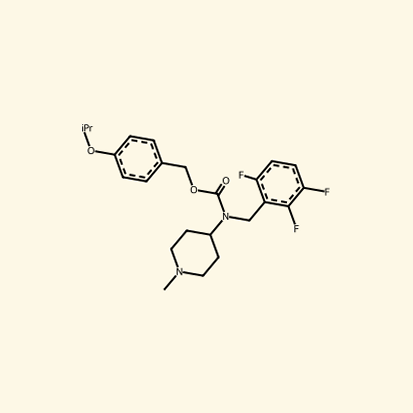 CC(C)Oc1ccc(COC(=O)N(Cc2c(F)ccc(F)c2F)C2CCN(C)CC2)cc1